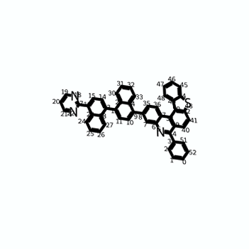 c1ccc(-c2nc3cc(-c4ccc(-c5ccc(-c6ncccn6)c6ccccc56)c5ccccc45)ccc3c3c2ccc2sc4ccccc4c23)cc1